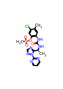 Cc1cc(NC(=O)N[C@@H](C)c2ncnn2-c2ncccn2)c(OS(C)(=O)=O)cc1Cl